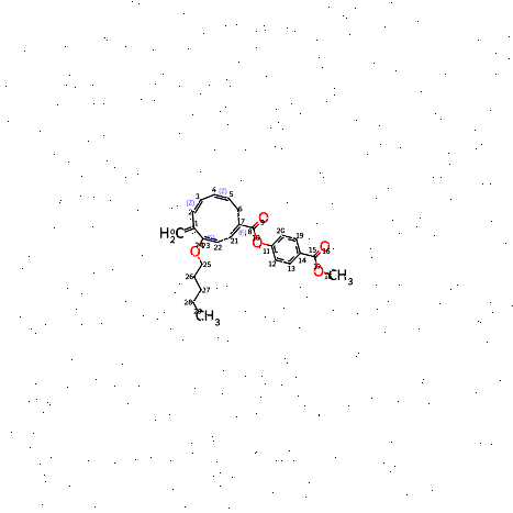 C=C1/C=C\C=C/C/C(C(=O)Oc2ccc(C(=O)OC)cc2)=C\C=C/1OCCCCC